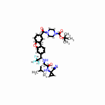 CC(C)C[C@H](N[C@@H](c1ccc2c(c1)oc1ccc(C(=O)N3CCN(C(=O)OC(C)(C)C)CC3)cc12)C(F)(F)F)C(=O)NC1(C#N)CC1